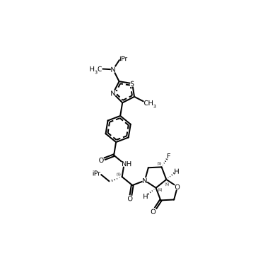 Cc1sc(N(C)C(C)C)nc1-c1ccc(C(=O)N[C@@H](CC(C)C)C(=O)N2C[C@H](F)[C@H]3OCC(=O)[C@H]32)cc1